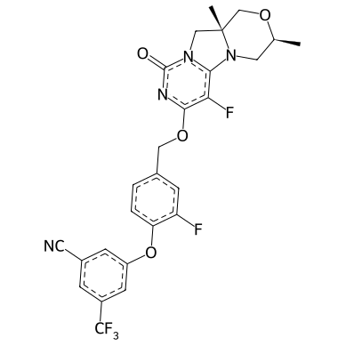 C[C@H]1CN2c3c(F)c(OCc4ccc(Oc5cc(C#N)cc(C(F)(F)F)c5)c(F)c4)nc(=O)n3C[C@]2(C)CO1